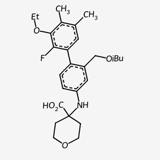 CCOc1c(C)c(C)cc(-c2ccc(NC3(C(=O)O)CCOCC3)cc2COCC(C)C)c1F